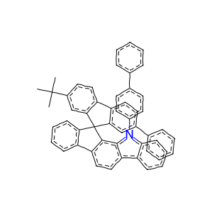 CC(C)(C)c1ccc2c(c1)C1(c3cc(-c4ccccc4)ccc3-2)c2ccccc2-c2ccc3c4ccccc4n(-c4ccc(-c5ccccc5)cc4)c3c21